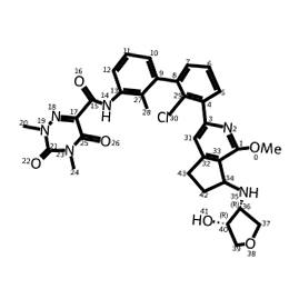 COc1nc(-c2cccc(-c3cccc(NC(=O)c4nn(C)c(=O)n(C)c4=O)c3C)c2Cl)cc2c1C(N[C@@H]1COC[C@@H]1O)CC2